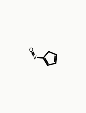 [O]=[V][C]1=CC=CC1